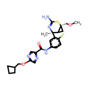 COC[C@]12CC1[C@@](C)(c1cc(NC(=O)c3cnc(OCC4CCC4)cn3)ccc1F)N=C(N)S2